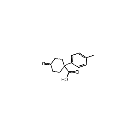 Cc1ccc(C2(C(=O)O)CCC(=O)CC2)cc1